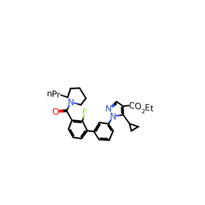 CCCC1CCCCN1C(=O)c1cccc(-c2cccc(-n3ncc(C(=O)OCC)c3C3CC3)c2)c1F